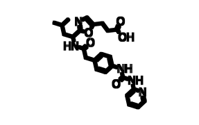 CC(C)CC(NC(=O)Cc1ccc(NC(=O)Nc2ccccn2)cc1)c1ncc(CCC(=O)O)o1